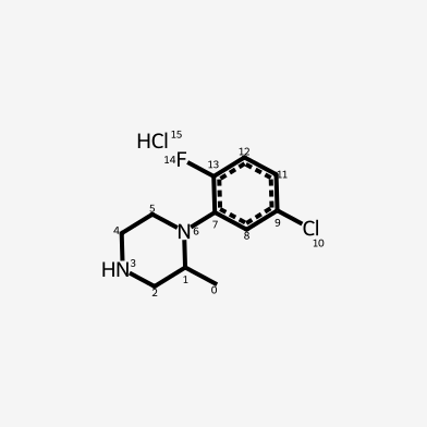 CC1CNCCN1c1cc(Cl)ccc1F.Cl